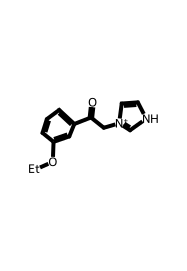 CCOc1cccc(C(=O)C[n+]2cc[nH]c2)c1